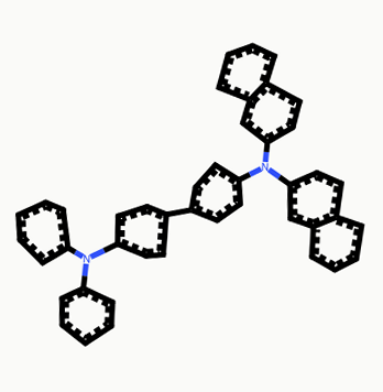 c1ccc(N(c2ccccc2)c2ccc(-c3ccc(N(c4ccc5ccccc5c4)c4ccc5ccccc5c4)cc3)cc2)cc1